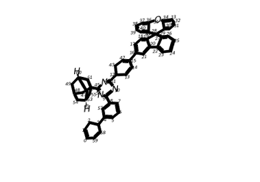 C1=CCC(c2cccc(-c3nc(C4C=CC(c5ccc6c(c5)-c5ccccc5C65c6ccccc6Oc6ccccc65)=CC4)nc(C45CC6C[C@H](C4)C[C@H](C6)C5)n3)c2)C=C1